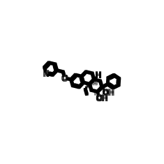 CC[C@@]12C[C@H](O)[C@](O)(c3ccccc3)C[C@H]1CCc1cc(OCc3cccnc3)ccc12